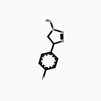 CC(C)(C)N1CC(c2ccc(F)cc2)N=N1